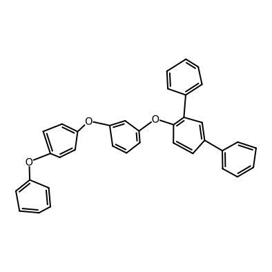 c1ccc(Oc2ccc(Oc3cccc(Oc4ccc(-c5ccccc5)cc4-c4ccccc4)c3)cc2)cc1